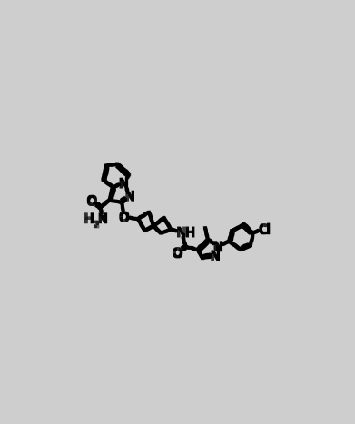 Cc1c(C(=O)NC2CC3(C2)CC(Oc2nn4ccccc4c2C(N)=O)C3)cnn1-c1ccc(Cl)cc1